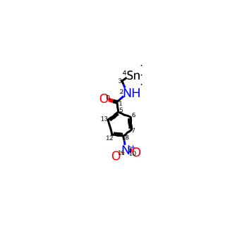 O=C(N[CH2][Sn])c1ccc([N+](=O)[O-])cc1